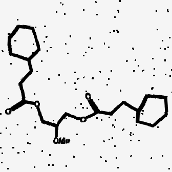 COC(COC(=O)CCC1CCCCC1)COC(=O)CCC1CCCCC1